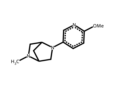 COc1ccc(N2CC3CC2CN3C)cn1